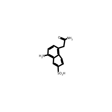 NC(=O)Cc1ccc(N)c2cc(S(=O)(=O)O)ccc12